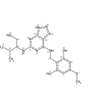 COc1cc(O)c(CNc2nc(NC(CO)C(C)C)nc3[nH]nnc23)c(O)c1